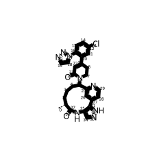 C[C@@H]1CCCC(N2CCC(c3cc(Cl)ccc3-n3ccnn3)=CC2=O)c2cc(ccn2)-c2[nH]ncc2NC1=O